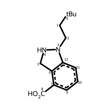 CC(C)(C)CCN1NCc2c(C(=O)O)cccc21